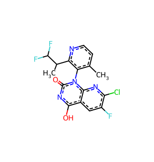 Cc1ccnc(C(C)C(F)F)c1-n1c(=O)nc(O)c2cc(F)c(Cl)nc21